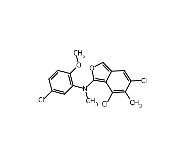 COc1ccc(Cl)cc1N(C)c1occ2cc(Cl)c(C)c(Cl)c12